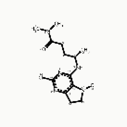 C[C@H](CCC(=O)N(C)C)Nc1nc(Cl)nc2c1[S+]([O-])CC2